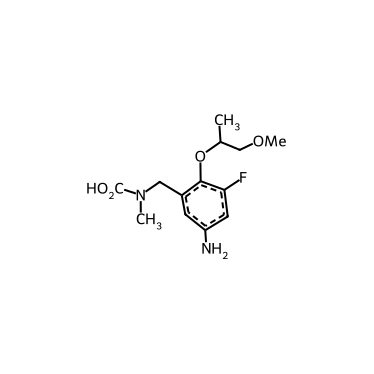 COCC(C)Oc1c(F)cc(N)cc1CN(C)C(=O)O